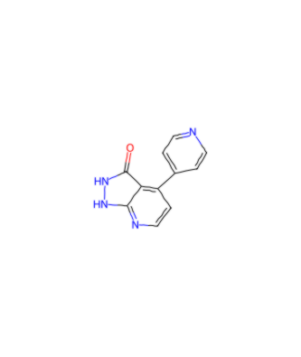 O=c1[nH][nH]c2nccc(-c3ccncc3)c12